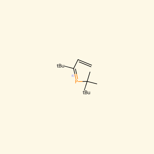 C=C/C(=P\C(C)(C)C(C)(C)C)C(C)(C)C